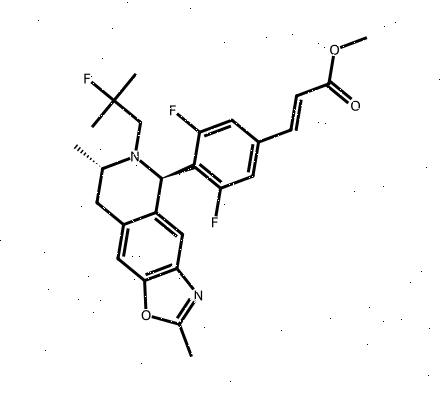 COC(=O)/C=C/c1cc(F)c([C@H]2c3cc4nc(C)oc4cc3C[C@H](C)N2CC(C)(C)F)c(F)c1